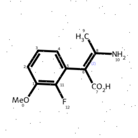 COc1cccc(/C(C(=O)O)=C(\C)N)c1F